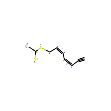 C#C/C=C\C=C/CSC(S)CC